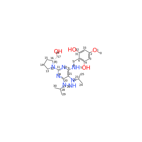 COc1cc(O)c(CNc2nc(N3CCC[C@@H]3CO)nc3c2N(C(C)C)NN3C(C)C)c(O)c1